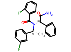 C[C@H](c1cccc(F)c1)N(C(=O)c1ccccc1F)[C@H](C(N)=O)c1ccccc1